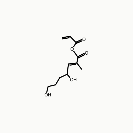 C=CC(=O)OC(=O)C(C)=CC(O)CCCO